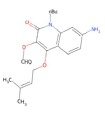 CCCCn1c(=O)c(OC=O)c(OCC=C(C)C)c2ccc(N)cc21